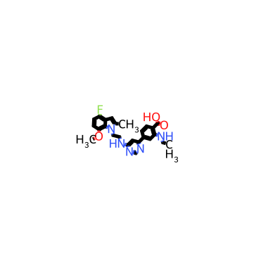 CCNc1cc(-c2cc(NCCn3c(C)cc4c(F)ccc(OC)c43)ncn2)ccc1C(=O)O